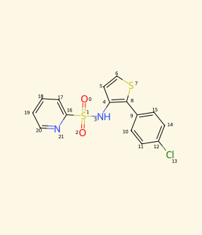 O=S(=O)(Nc1ccsc1-c1ccc(Cl)cc1)c1ccccn1